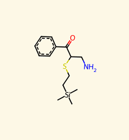 C[Si](C)(C)CCSC(CN)C(=O)c1ccccc1